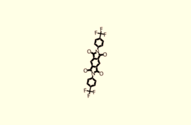 O=c1c2cc3c(=O)n(-c4ccc(C(F)(F)F)cc4)c(=O)c3cc2c(=O)n1-c1ccc(C(F)(F)F)cc1